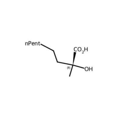 CCCCCCC[C@@](C)(O)C(=O)O